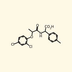 Cc1ccc(C(NC(=O)C(C)Oc2ccc(Cl)cc2Cl)C(=O)O)cc1